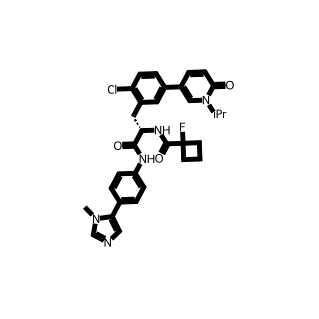 CC(C)n1cc(-c2ccc(Cl)c(C[C@H](NC(=O)C3(F)CCC3)C(=O)Nc3ccc(-c4cncn4C)cc3)c2)ccc1=O